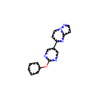 c1ccc(Oc2ncc(-c3ccn4nccc4n3)cn2)cc1